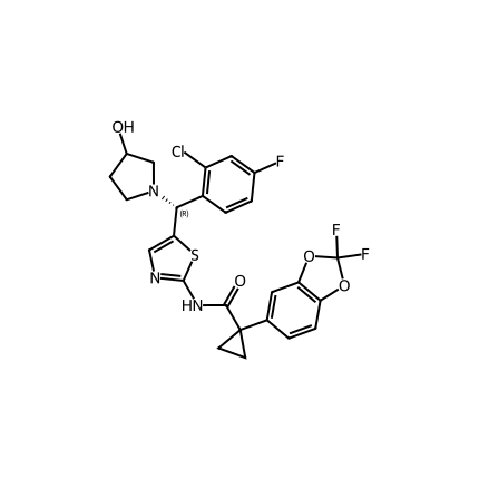 O=C(Nc1ncc([C@@H](c2ccc(F)cc2Cl)N2CCC(O)C2)s1)C1(c2ccc3c(c2)OC(F)(F)O3)CC1